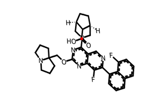 O=C(O)C1[C@@H]2CC[C@H]1CN(c1nc(OCC34CCCN3CCC4)nc3c(F)c(-c4cccc5cccc(F)c45)ncc13)C2